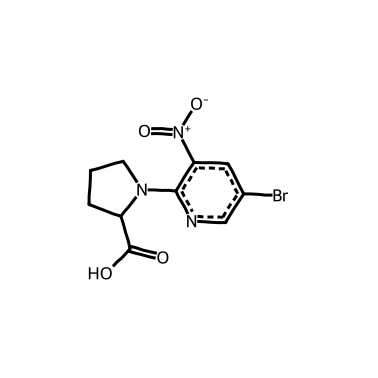 O=C(O)C1CCCN1c1ncc(Br)cc1[N+](=O)[O-]